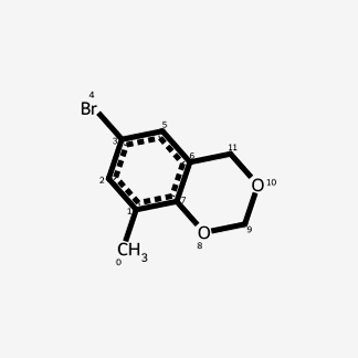 Cc1cc(Br)cc2c1OCOC2